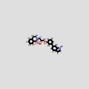 Cn1ccc2ccc(-c3cccc(OCC(O)CN4CCc5ccccc5C4)c3)cc21